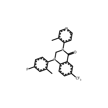 Cc1cnccc1N1CN(c2ccc(F)cc2C)c2ccc(C(F)(F)F)cc2C1=O